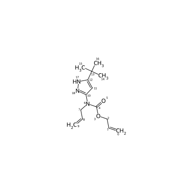 C=CCOC(=O)N(CC=C)c1cc(C(C)(C)C)[nH]n1